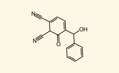 N#CC1=CC=C(C(O)c2ccccc2)C(=O)C1C#N